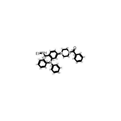 CCNC(=O)c1ccc(N2CCN(C(=O)c3ccccc3)CC2)cc1N(c1ccccc1)c1ccccc1